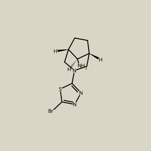 N[C@@H]1[C@@H]2CC[C@H]1CN(c1nnc(Br)s1)C2